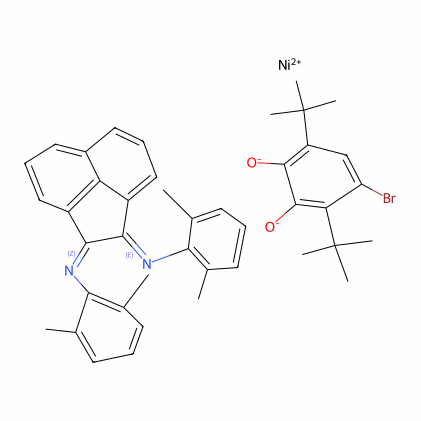 CC(C)(C)c1cc(Br)c(C(C)(C)C)c([O-])c1[O-].Cc1cccc(C)c1/N=C1\C(=N\c2c(C)cccc2C)c2cccc3cccc1c23.[Ni+2]